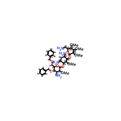 COC1C(N)[C@H](OCc2ccccc2)C(COCc2ccccc2)O[C@@H]1OC1C(OC)[C@H](O[C@H]2OC(CN)[C@@H](OC)C(OC)C2OC)C(N)C[C@H]1N